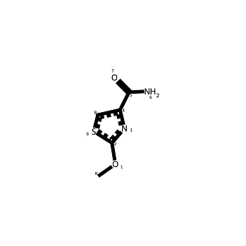 COc1nc(C(N)=O)cs1